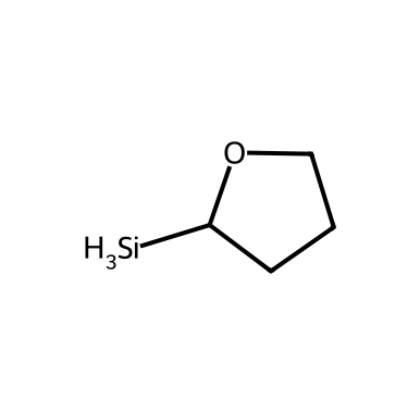 [SiH3]C1CCCO1